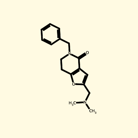 CN(C)Cc1cc2c(o1)CCN(Cc1ccccc1)C2=O